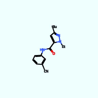 CCn1nc(C(C)(C)C)cc1C(=O)Nc1cccc(C#N)c1